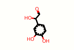 O=CC(O)c1ccc(O)c(O)c1